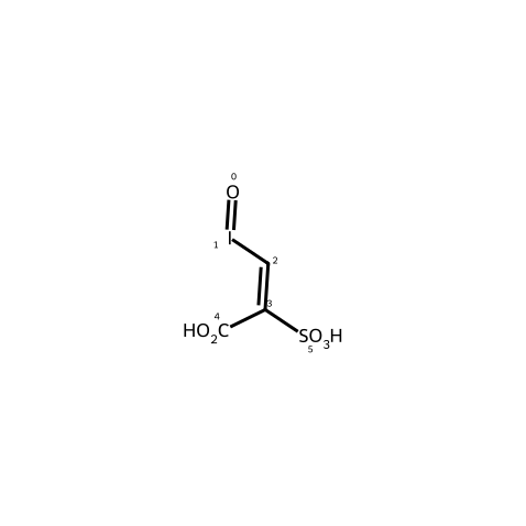 O=I/C=C(\C(=O)O)S(=O)(=O)O